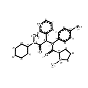 CN(C(=O)[C@@H](c1cccnc1)N(C(=O)[C@H]1CCCN1C#N)c1ccc(C(C)(C)C)cc1)C1CCCCC1